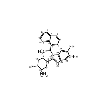 C[C@@H](c1cccc2cccnc12)n1c(N2CCC(F)C(N)C2)nc2cc(F)c(F)cc21